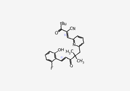 CC(C)(C)C(=O)/C(C#N)=C/c1cccc(CC(C)(C)C(=O)/C=C/c2c(O)cccc2F)n1